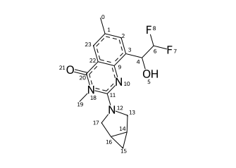 Cc1cc(C(O)C(F)F)c2nc(N3CC4CC4C3)n(C)c(=O)c2c1